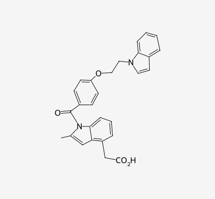 Cc1cc2c(CC(=O)O)cccc2n1C(=O)c1ccc(OCCn2ccc3ccccc32)cc1